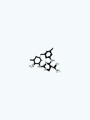 Cc1cc(C)cc(Nc2nc(NC3CCCC(C)C3N)ncc2C(N)=O)c1